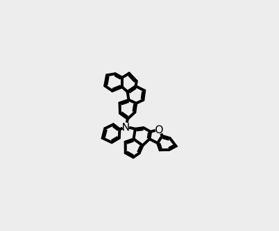 c1ccc(N(c2ccc3c(ccc4ccc5ccccc5c43)c2)c2cc3oc4ccccc4c3c3ccccc23)cc1